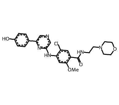 COc1cc(Nc2cncc(-c3ccc(O)cc3)n2)c(Cl)cc1C(=O)NCCN1CCOCC1